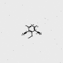 CCc1c(C#N)c(C)nc(C)c1C#N